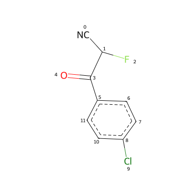 N#CC(F)C(=O)c1ccc(Cl)cc1